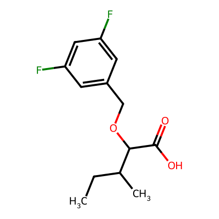 CCC(C)C(OCc1cc(F)cc(F)c1)C(=O)O